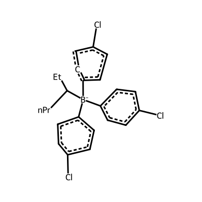 CCCC(CC)[B-](c1ccc(Cl)cc1)(c1ccc(Cl)cc1)c1ccc(Cl)cc1